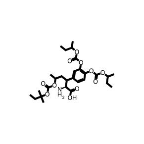 CCC(C)OC(=O)Oc1ccc(C(CC(C)OC(=O)OC(C)(C)CC)[C@H](N)C(=O)O)cc1OC(=O)OC(C)CC